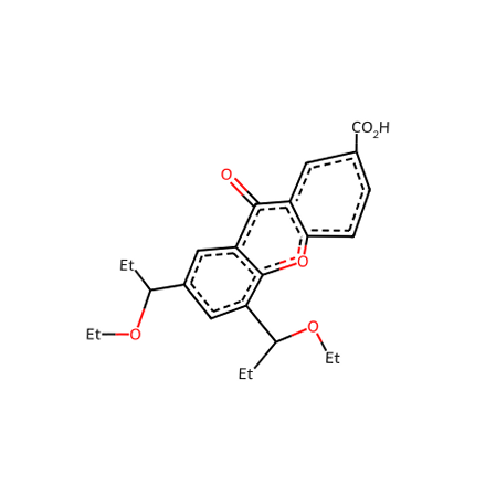 CCOC(CC)c1cc(C(CC)OCC)c2oc3ccc(C(=O)O)cc3c(=O)c2c1